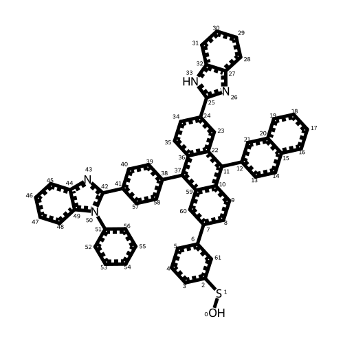 OSc1cccc(-c2ccc3c(-c4ccc5ccccc5c4)c4cc(-c5nc6ccccc6[nH]5)ccc4c(-c4ccc(-c5nc6ccccc6n5-c5ccccc5)cc4)c3c2)c1